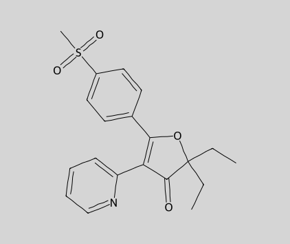 CCC1(CC)OC(c2ccc(S(C)(=O)=O)cc2)=C(c2ccccn2)C1=O